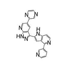 c1cncc(-c2nccc3[nH]c(-c4n[nH]c5ncc(-c6cnccn6)cc45)cc23)c1